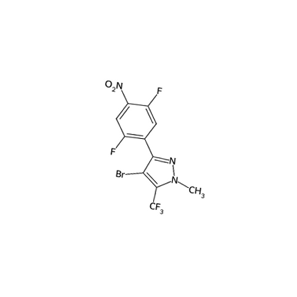 Cn1nc(-c2cc(F)c([N+](=O)[O-])cc2F)c(Br)c1C(F)(F)F